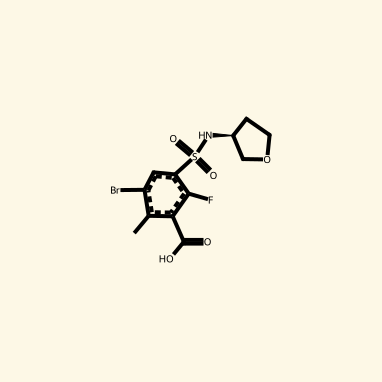 Cc1c(Br)cc(S(=O)(=O)N[C@H]2CCOC2)c(F)c1C(=O)O